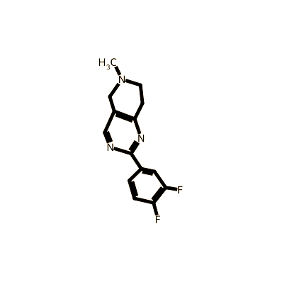 CN1CCc2nc(-c3ccc(F)c(F)c3)ncc2C1